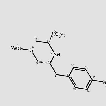 CCOC(=O)[C@@H](C)N[C@@H](COOC)Cc1ccc([N+](=O)[O-])cc1